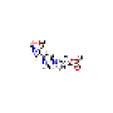 CCc1nc(-c2cnn(C)c2CO)ccc1N1CCC[C@H](CCOC(C)=O)C1